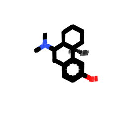 CCC[C@@]12CCCCC1C(N(C)C)Cc1ccc(O)cc12